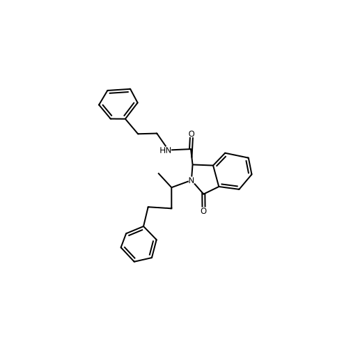 CC(CCc1ccccc1)N1C(=O)c2ccccc2C1C(=O)NCCc1ccccc1